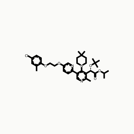 Cc1cc(Cl)ccc1OCCOc1ccc(-c2cnc(C)c([C@H](OC(C)(C)C)C(=O)OC(C)C)c2N2CCC(C)(C)CC2)nc1